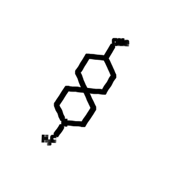 COC1CCC2(CC1)CCN(C)CC2